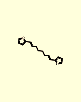 C(=Cc1ccco1)CCCCC=Cc1ccco1